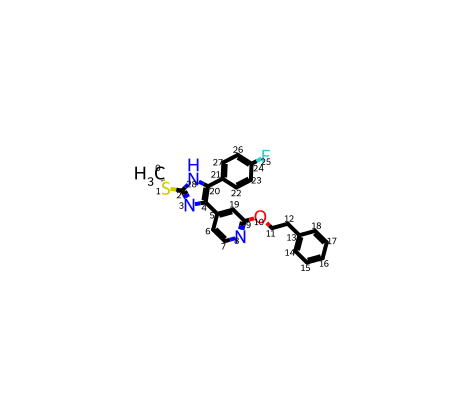 CSc1nc(-c2ccnc(OCCc3ccccc3)c2)c(-c2ccc(F)cc2)[nH]1